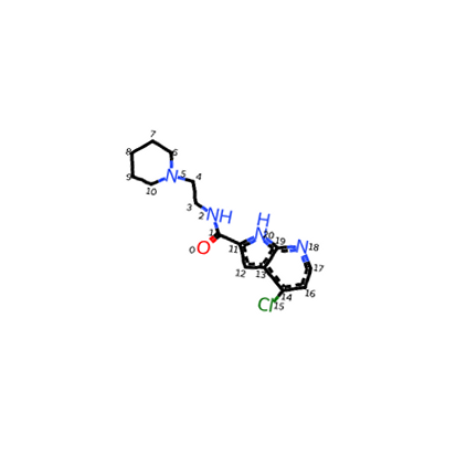 O=C(NCCN1CCCCC1)c1cc2c(Cl)ccnc2[nH]1